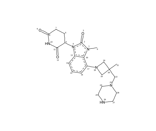 Cn1c(=O)n(C2CCC(=O)NC2=O)c2cccc(N3CC(C)(CN4CCNCC4)C3)c21